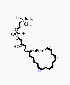 CCCCC/C=C\C/C=C\C/C=C\C/C=C\CCCCC(=O)OC[C@@H](O)COP(=O)(O)OCC[N+](C)(C)C